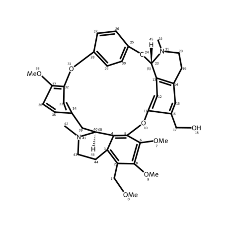 COCc1c2c3c(c(OC)c1OC)Oc1cc4c(cc1CO)CCN(C)[C@H]4Cc1ccc(cc1)Oc1cc(ccc1OC)C[C@@H]3N(C)CC2